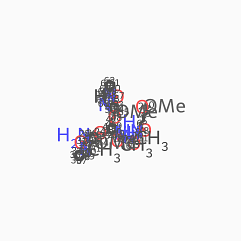 COC(=O)CCCCC(=O)N[C@@H](C)C(=O)N[C@@H](C)C(=O)Nc1cc(COc2cc(N)c(C(=O)N3c4ccccc4C[C@H]3C)cc2OC)cc(COc2cc3c(cc2OC)C(=O)N2c4ccccc4C[C@H]2C=N3)c1